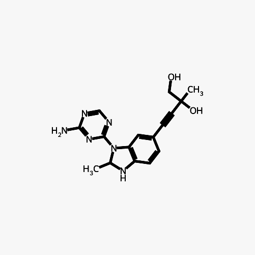 CC1Nc2ccc(C#CC(C)(O)CO)cc2N1c1ncnc(N)n1